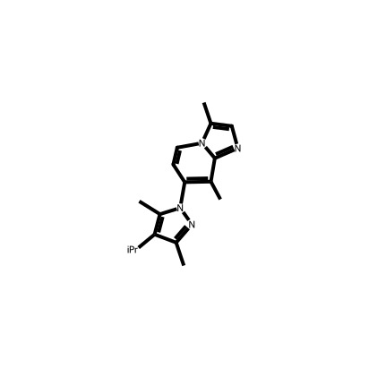 Cc1nn(-c2ccn3c(C)cnc3c2C)c(C)c1C(C)C